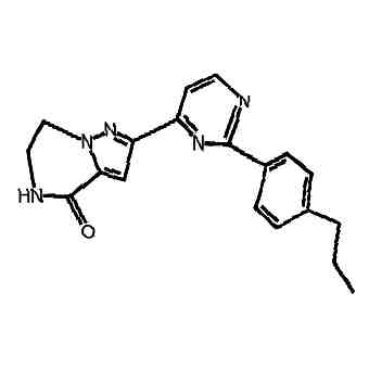 CCCc1ccc(-c2nccc(-c3cc4n(n3)CCNC4=O)n2)cc1